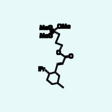 CO[Si](CCCOC(=O)C=CC1CC(C)CCC1C(C)C)(OC)OC